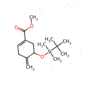 C=C1CC=C(C(=O)OC)CC1O[Si](C)(C)C(C)(C)C